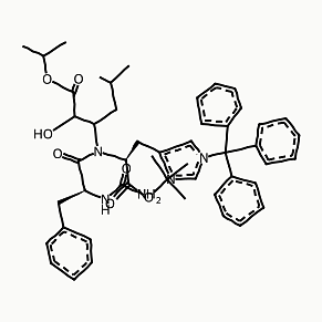 CC(C)CC(C(O)C(=O)OC(C)C)N(C(=O)[C@H](Cc1ccccc1)NC(=O)OC(C)(C)C)[C@@H](Cc1cn(C(c2ccccc2)(c2ccccc2)c2ccccc2)cn1)C(N)=O